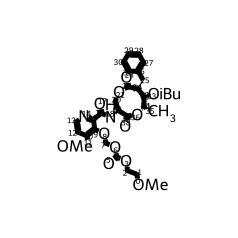 COCCOC(=O)OCOc1c(OC)ccnc1C(=O)N[C@H]1COC(=O)[C@H](Cc2ccccc2)[C@@H](OCC(C)C)[C@H](C)OC1=O